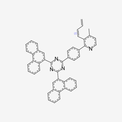 C=C/C=C\c1c(C)ccnc1-c1ccc(-c2nc(-c3cc4ccccc4c4ccccc34)nc(-c3cc4ccccc4c4ccccc34)n2)cc1